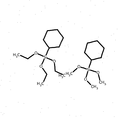 CCO[Si](OCC)(OCC)C1CCCCC1.CO[Si](OC)(OC)C1CCCCC1